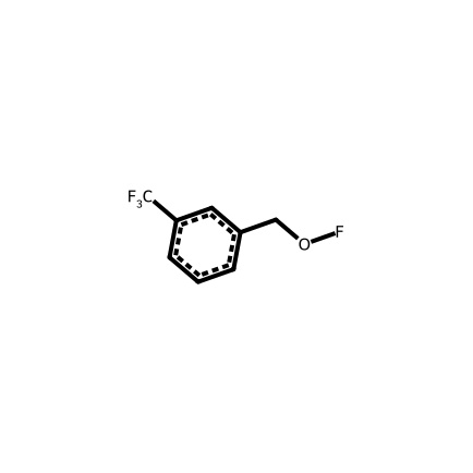 FOCc1cccc(C(F)(F)F)c1